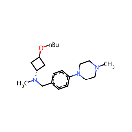 CCCCO[C@H]1C[C@H](N(C)Cc2ccc(N3CCN(C)CC3)cc2)C1